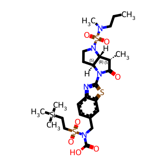 CCCN(C)S(=O)(=O)N1CC[C@H]2[C@H]1[C@H](C)C(=O)N2c1nc2ccc(CN(C(=O)O)S(=O)(=O)CC[Si](C)(C)C)cc2s1